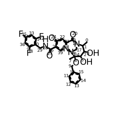 CC1C(O)C(O)C(C)(OCc2ccccc2)N2CN1C(=O)c1cc(=O)c(C(=O)NCc3c(F)cc(F)cc3F)cn12